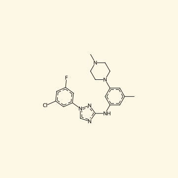 Cc1cc(Nc2ncn(-c3cc(F)cc(Cl)c3)n2)cc(N2CCN(C)CC2)c1